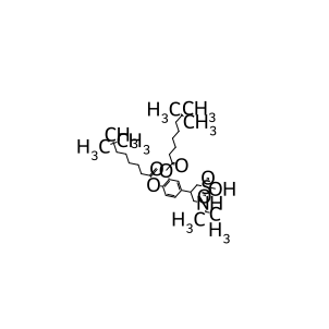 CC(C)NCC(CS(=O)(=O)O)c1ccc(OC(=O)CCCCCC(C)(C)C)c(OC(=O)CCCCCC(C)(C)C)c1